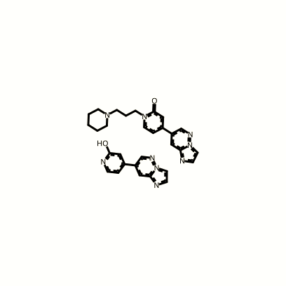 O=c1cc(-c2cnn3ccnc3c2)ccn1CCCN1CCCCC1.Oc1cc(-c2cnn3ccnc3c2)ccn1